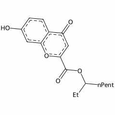 CCCCCC(CC)OC(=O)c1cc(=O)c2ccc(O)cc2o1